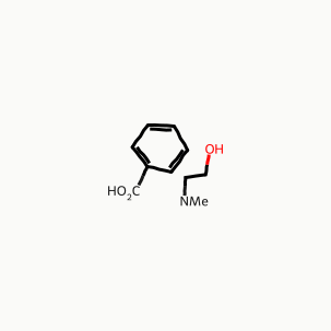 CNCCO.O=C(O)c1ccccc1